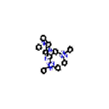 c1ccc(-c2nc(-c3ccccc3)nc(-c3ccc(-n4c5ccccc5c5c4ccc4c6ccccc6n(-c6ccccc6)c45)c(-c4ccnc(-c5nc(-c6ccccc6)nc(-c6ccccc6)n5)c4)c3)n2)cc1